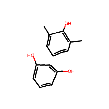 Cc1cccc(C)c1O.Oc1cccc(O)c1